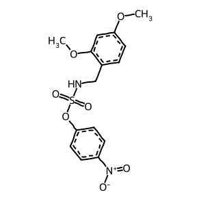 COc1ccc(CNS(=O)(=O)Oc2ccc([N+](=O)[O-])cc2)c(OC)c1